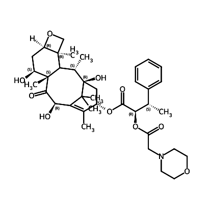 CC1=C2[C@@H](O)C(=O)[C@@]3(C)C([C@H](C)[C@](O)(C[C@@H]1OC(=O)[C@H](OC(=O)CN1CCOCC1)[C@@H](C)c1ccccc1)C2(C)C)[C@]1(C)CO[C@@H]1C[C@@H]3O